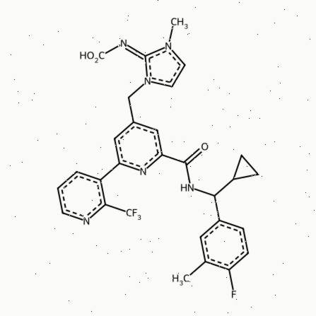 Cc1cc(C(NC(=O)c2cc(Cn3ccn(C)/c3=N/C(=O)O)cc(-c3cccnc3C(F)(F)F)n2)C2CC2)ccc1F